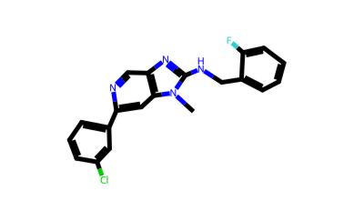 Cn1c(NCc2ccccc2F)nc2cnc(-c3cccc(Cl)c3)cc21